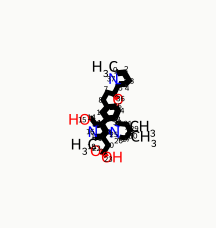 Cc1cccc(C2CCc3cc(-c4c(CO)nc(C)c(CC(=O)O)c4N4CCC(C)(C)CC4)ccc3O2)n1